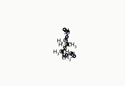 CN(CCC[N+](C)(C)CCSSCC[N+](C)(C)CCCN(C)c1ccc(/C=C/C23OCCN2c2ccccc2S3)cc1)c1ccc(/C=C/C23OCCN2c2ccccc2S3)cc1